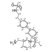 CCS(=O)(=O)[N+]1(c2cccc(-c3ccc(CCNS(C)(=O)=O)cc3)c2)C=C(CN)C=CC1